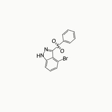 O=S(=O)(c1ccccc1)c1n[nH]c2cccc(Br)c12